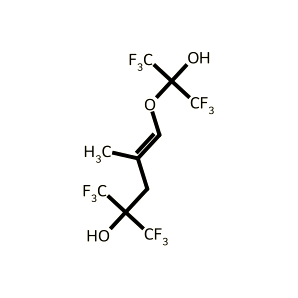 C/C(=C\OC(O)(C(F)(F)F)C(F)(F)F)CC(O)(C(F)(F)F)C(F)(F)F